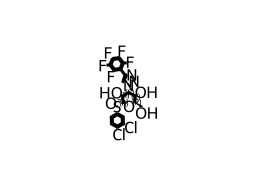 [O-][S+](c1ccc(Cl)c(Cl)c1)[C@H]1O[C@H](CO)[C@H](O)[C@H](n2cc(-c3c(F)c(F)c(F)c(F)c3F)nn2)[C@H]1O